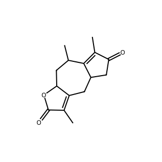 CC1=C2C(C)CC3OC(=O)C(C)=C3CC2CC1=O